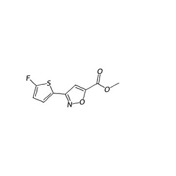 COC(=O)c1cc(-c2ccc(F)s2)no1